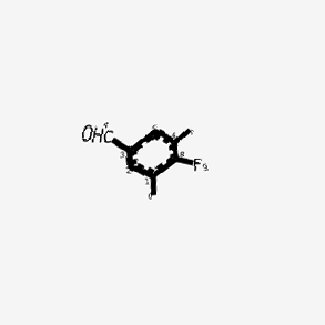 Cc1cc(C=O)cc(C)c1F